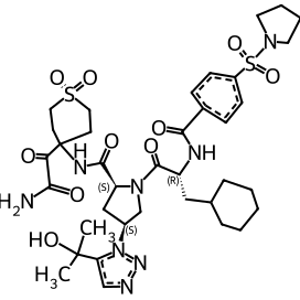 CC(C)(O)c1cnnn1[C@H]1C[C@@H](C(=O)NC2(C(=O)C(N)=O)CCS(=O)(=O)CC2)N(C(=O)[C@@H](CC2CCCCC2)NC(=O)c2ccc(S(=O)(=O)N3CCCC3)cc2)C1